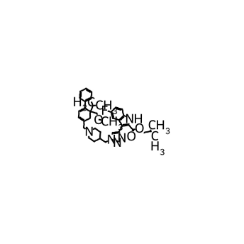 COCC1(C(C)C)CC(CN2CCC(Cn3cc(-c4c(C(=O)OCC(C)C)[nH]c5ccc(F)cc45)nn3)CC2)=CC=C1c1ccccc1